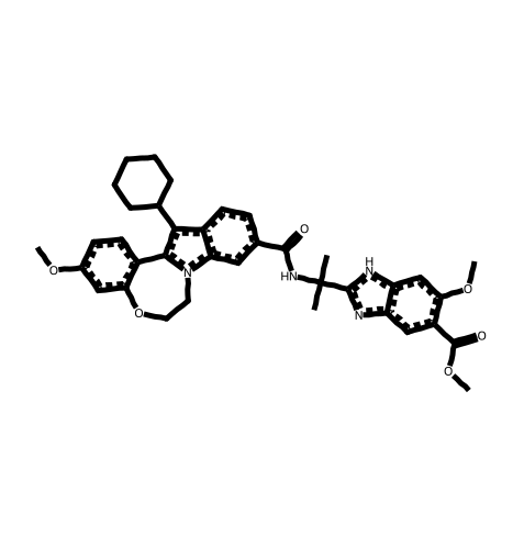 COC(=O)c1cc2nc(C(C)(C)NC(=O)c3ccc4c(C5CCCCC5)c5n(c4c3)CCOc3cc(OC)ccc3-5)[nH]c2cc1OC